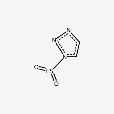 O=[SH](=O)n1ccnn1